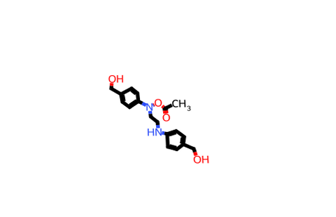 CC(=O)ON(CCNc1ccc(CO)cc1)c1ccc(CO)cc1